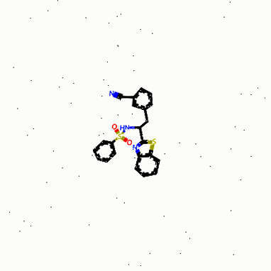 N#Cc1cccc(CC(NS(=O)(=O)c2ccccc2)c2nc3ccccc3s2)c1